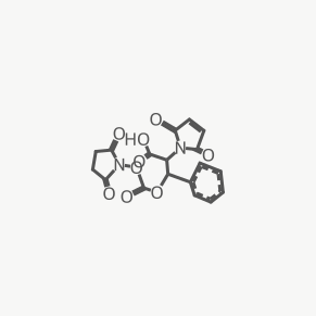 O=C(OC(c1ccccc1)C(C(=O)O)N1C(=O)C=CC1=O)ON1C(=O)CCC1=O